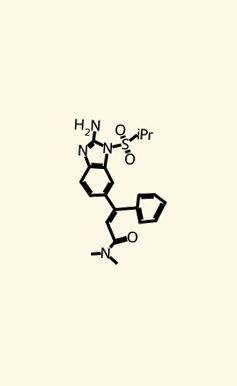 CC(C)S(=O)(=O)n1c(N)nc2ccc(C(=CC(=O)N(C)C)c3ccccc3)cc21